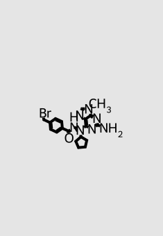 Cn1cnc2c(N(NC(=O)c3ccc(CBr)cc3)C3CCCC3)nc(N)nc21